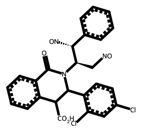 O=NC[C@H]([C@H](N=O)c1ccccc1)N1C(=O)c2ccccc2C(C(=O)O)C1c1ccc(Cl)cc1Cl